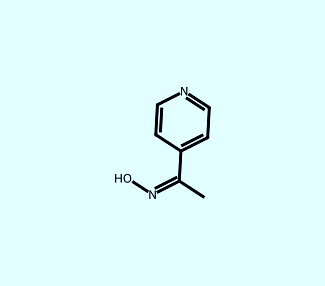 C/C(=N/O)c1ccncc1